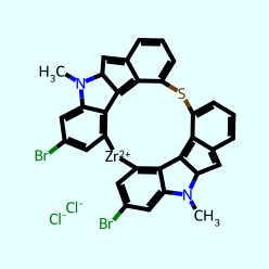 CN1c2cc(Br)c[c]3c2C2=c4c(cccc4=CC21)Sc1cccc2c1=C1c4[c](cc(Br)cc4N(C)C1C=2)[Zr+2]3.[Cl-].[Cl-]